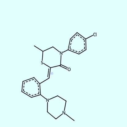 CC1CN(c2ccc(Cl)cc2)C(=O)/C(=C/c2ccccc2N2CCN(C)CC2)S1